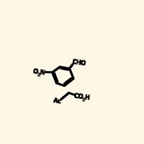 CC(=O)CC(=O)O.O=Cc1cccc([N+](=O)[O-])c1